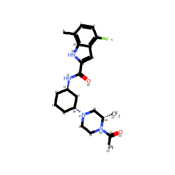 Cc1ccc(F)c2cc(C(=O)N[C@@H]3CCC[C@@H](N4CCN(C(=O)C(C)C)[C@@H](C(F)(F)F)C4)C3)[nH]c12